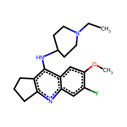 CCN1CCC(Nc2c3c(nc4cc(F)c(OC)cc24)CCC3)CC1